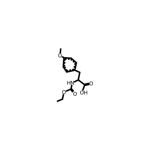 CCOC(=O)NC(Cc1ccc(OC)cc1)C(=O)O